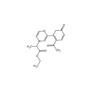 CCOC(=O)C(C)N1C=COC(C2=C(C(C)=O)C=CC(=O)C2)=C1